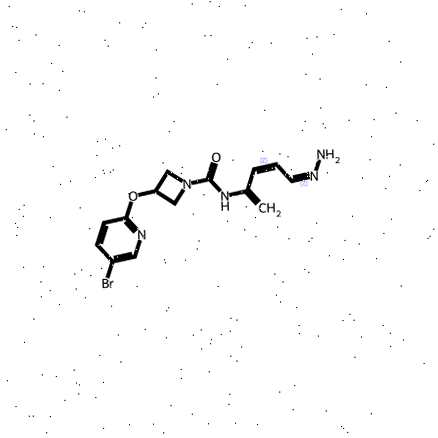 C=C(/C=C\C=N/N)NC(=O)N1CC(Oc2ccc(Br)cn2)C1